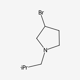 C[C](C)CN1CCC(Br)C1